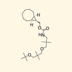 CC(C)(CNC(=O)OC[C@@H]1[C@@H]2CCCCCC[C@@H]21)COCC(C)(C)COC(C)(C)C